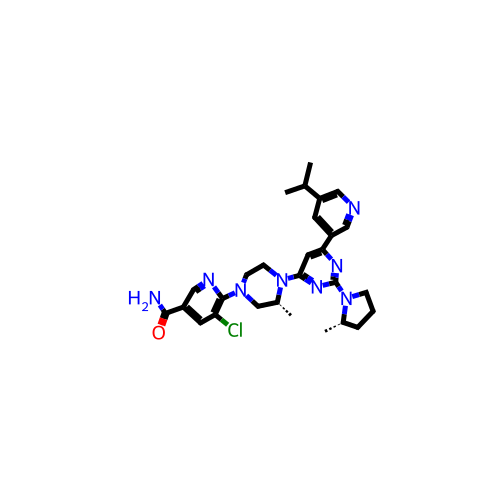 CC(C)c1cncc(-c2cc(N3CCN(c4ncc(C(N)=O)cc4Cl)C[C@H]3C)nc(N3CCC[C@@H]3C)n2)c1